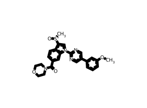 COc1cccc(-c2cnc(-n3cc([S+](C)[O-])c4ccc(C(=O)N5CCOCC5)cc43)nc2)c1